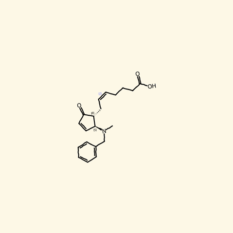 CN(Cc1ccccc1)[C@H]1C=CC(=O)[C@@H]1C/C=C\CCCC(=O)O